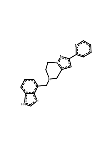 c1ccc(-c2cc3n(n2)CCN(Cc2cccc4[nH]cnc24)C3)nc1